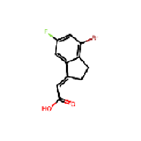 O=C(O)C=C1CCc2c(Br)cc(F)cc21